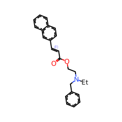 CCN(CCOC(=O)/C=C/c1ccc2ccccc2c1)Cc1ccccc1